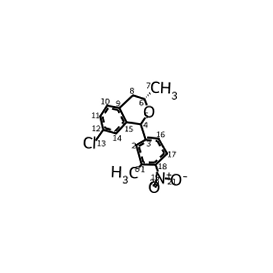 Cc1cc(C2O[C@@H](C)Cc3ccc(Cl)cc32)ccc1[N+](=O)[O-]